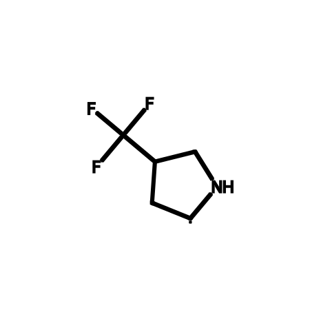 FC(F)(F)C1C[CH]NC1